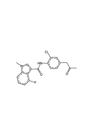 CC(=O)Cc1ccc(NC(=O)c2cn(C)c3cccc(F)c23)c(Cl)c1